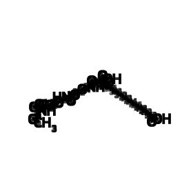 CC(=O)CC[C@H](NC(=O)COCCOCCNC(=O)COCCOCCNC(=O)CC[C@H](NC(=O)CCCCCCCCCCCCCCCCCCC(=O)O)C(=O)O)C(=O)O